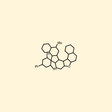 CC(C)C1CC(C(C)C)C2(C(C(C)C)C1)C1CCC3OC4CCC5CCCCC5C4C3C1C1CC(C(C)(C)C)C3CCCCC3C12